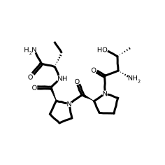 CC[C@H](NC(=O)[C@@H]1CCCN1C(=O)[C@@H]1CCCN1C(=O)[C@@H](N)[C@@H](C)O)C(N)=O